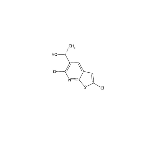 C[C@@H](O)c1cc2cc(Cl)sc2nc1Cl